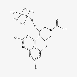 CC(C)(C)[Si](C)(C)OCC1CN(C(=O)O)CCN1c1nc(Cl)nc2cc(Br)cc(F)c12